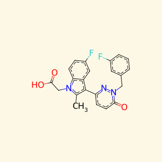 Cc1c(-c2ccc(=O)n(Cc3cccc(F)c3)n2)c2cc(F)ccc2n1CC(=O)O